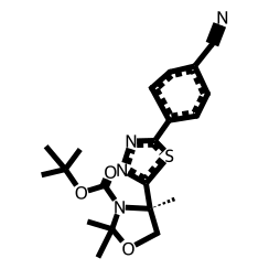 CC(C)(C)OC(=O)N1C(C)(C)OC[C@]1(C)c1nnc(-c2ccc(C#N)cc2)s1